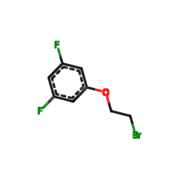 Fc1cc(F)cc(OCCBr)c1